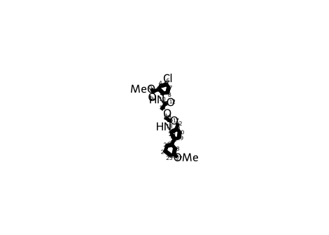 COC(=O)c1cc(Cl)ccc1NC(=O)COCC(=O)Nc1cc(-c2cccc(OC)c2)ccc1C